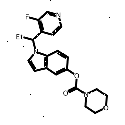 CCC(c1ccncc1F)n1ccc2cc(OC(=O)N3CCOCC3)ccc21